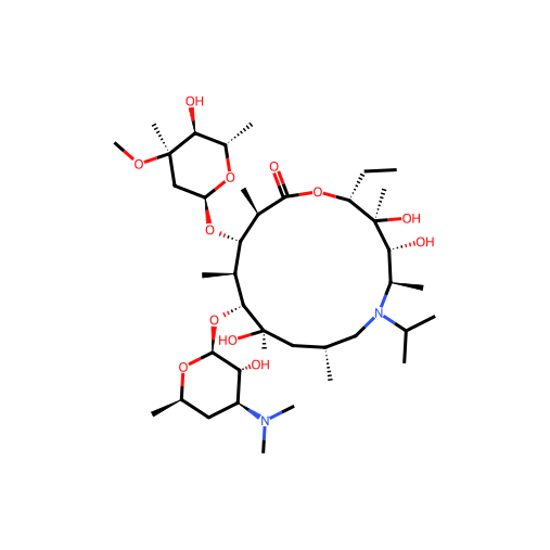 CC[C@H]1OC(=O)[C@H](C)[C@@H](O[C@H]2C[C@@](C)(OC)[C@@H](O)[C@H](C)O2)[C@H](C)[C@@H](O[C@@H]2O[C@H](C)C[C@H](N(C)C)[C@H]2O)[C@](C)(O)C[C@@H](C)CN(C(C)C)[C@H](C)[C@@H](O)[C@]1(C)O